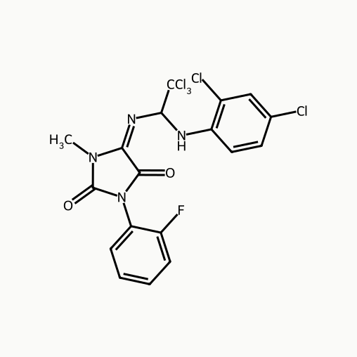 CN1C(=O)N(c2ccccc2F)C(=O)C1=NC(Nc1ccc(Cl)cc1Cl)C(Cl)(Cl)Cl